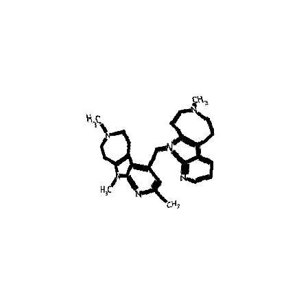 Cc1cc(Cn2c3c(c4cccnc42)CCN(C)CC3)c2c3c(n(C)c2n1)CCN(C)CC3